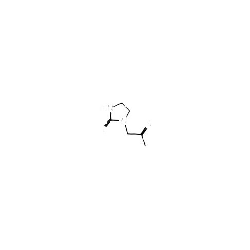 CC(=S)CN1CCNC1=O